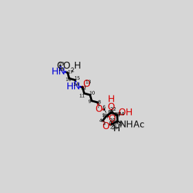 CC(=O)N[C@H]1[C@H]2OC[C@](COCCCCC(=O)NCCCNC(=O)O)(O2)[C@H](O)[C@@H]1O